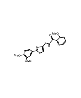 COc1ccc(-c2nc(CNC(=O)c3ncccc3OC)co2)cc1OC